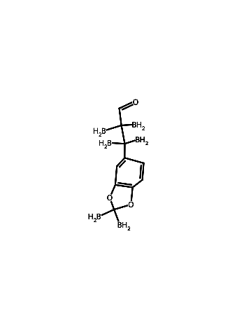 BC1(B)Oc2ccc(C(B)(B)C(B)(B)C=O)cc2O1